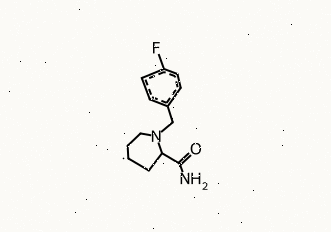 NC(=O)C1C[CH]CCN1Cc1ccc(F)cc1